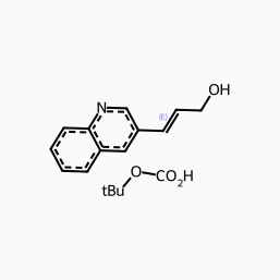 CC(C)(C)OC(=O)O.OC/C=C/c1cnc2ccccc2c1